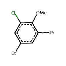 CCc1cc(Cl)c(OC)c(C(C)C)c1